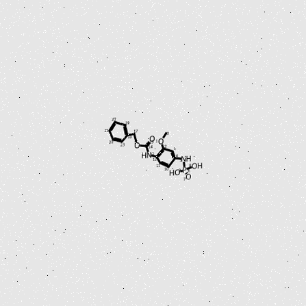 COc1cc(NP(=O)(O)O)ccc1NC(=O)OCc1ccccc1